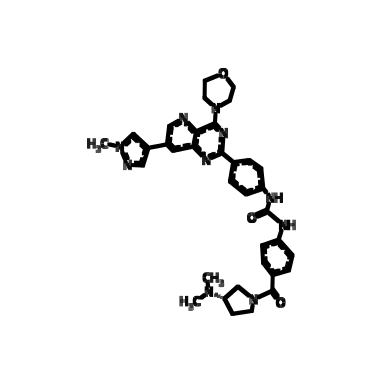 CN(C)[C@H]1CCN(C(=O)c2ccc(NC(=O)Nc3ccc(-c4nc(N5CCOCC5)c5ncc(-c6cnn(C)c6)cc5n4)cc3)cc2)C1